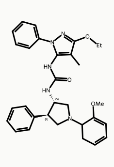 CCOc1nn(-c2ccccc2)c(NC(=O)N[C@@H]2CN(C3CC=CC=C3OC)C[C@H]2c2ccccc2)c1C